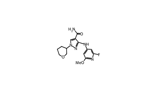 COc1cc(Nc2nn(C3CCCOC3)cc2C(N)=O)cc(F)n1